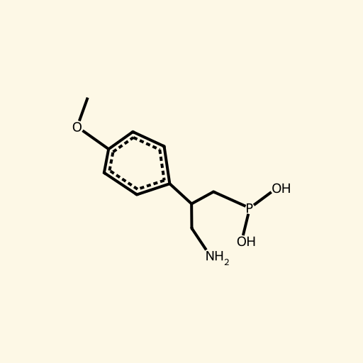 COc1ccc(C(CN)CP(O)O)cc1